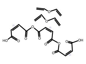 C=COC=C.C=COC=C.O=C(O)/C=C\C(=O)OC(=O)/C=C\C(=O)OC(=O)/C=C\C(=O)O